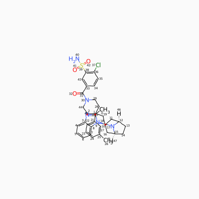 Cc1nc2ccccc2n1[C@H]1C[C@H]2CC[C@@H](C1)N2CCC1(c2cccc(C(F)(F)F)c2)CCN(C(=O)c2ccc(Cl)c(S(N)(=O)=O)c2)CC1